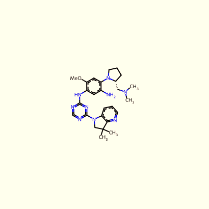 COc1cc(N2CCC[C@@H]2CN(C)C)c(N)cc1Nc1ncnc(N2CC(C)(C)c3ncccc32)n1